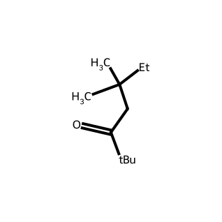 CCC(C)(C)CC(=O)C(C)(C)C